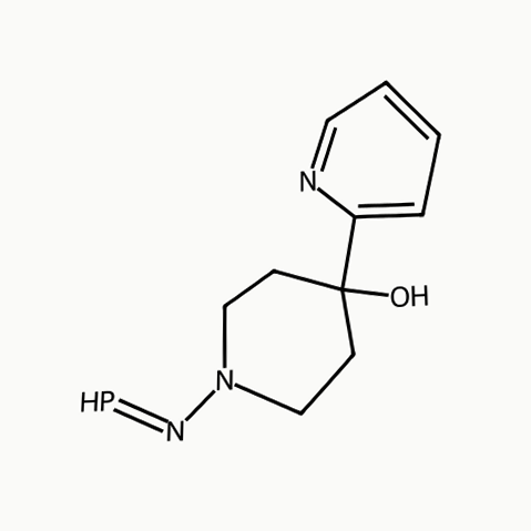 OC1(c2ccccn2)CCN(N=P)CC1